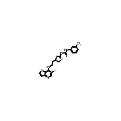 O=C(NC1=NCC(CCNc2c(Cl)cnc3ccsc23)S1)Nc1cccc(C(F)(F)F)c1